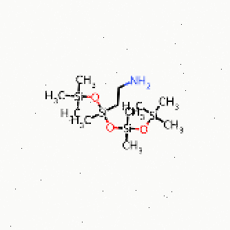 C[Si](C)(C)O[Si](C)(C)O[Si](C)(CCN)O[Si](C)(C)C